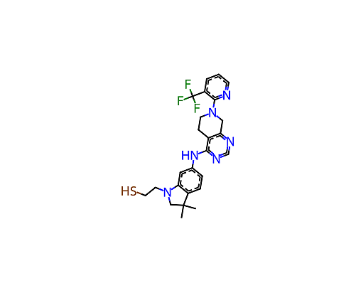 CC1(C)CN(CCS)c2cc(Nc3ncnc4c3CCN(c3ncccc3C(F)(F)F)C4)ccc21